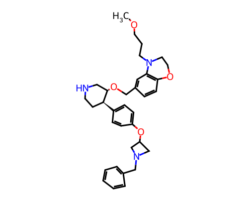 COCCCN1CCOc2ccc(CO[C@H]3CNCC[C@@H]3c3ccc(OC4CN(Cc5ccccc5)C4)cc3)cc21